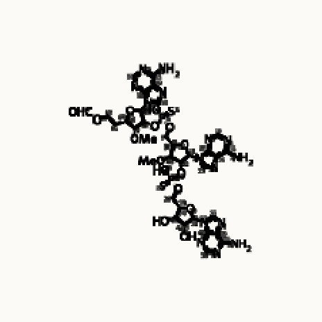 CO[C@H]1[C@@H](O[P@@](O)(=S)OC[C@H]2O[C@@H](n3cnc4c(N)ncnc43)[C@H](O[P@@](O)(=S)OC[C@H]3O[C@@H](n4cnc5c(N)ncnc54)[C@H](O)[C@@H]3O)[C@@H]2OC)[C@H](n2cnc3c(N)ncnc32)O[C@@H]1CCOC=O